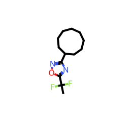 CC(F)(F)c1nc(C2CCCCCCCC2)no1